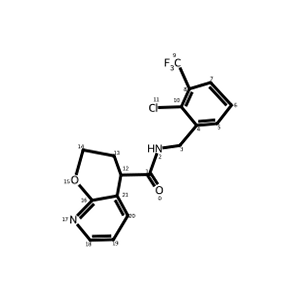 O=C(NCc1cccc(C(F)(F)F)c1Cl)C1CCOc2ncccc21